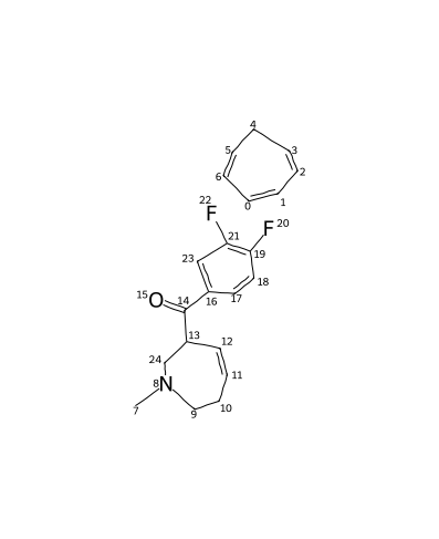 C1=CC=CCC=C1.CN1CCC=CC(C(=O)c2ccc(F)c(F)c2)C1